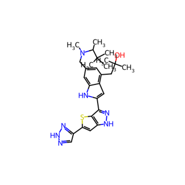 CC(N(C)Cc1cc(CC(C)(C)O)c2cc(-c3n[nH]c4cc(-c5cn[nH]n5)sc34)[nH]c2c1)C(C)(C)C